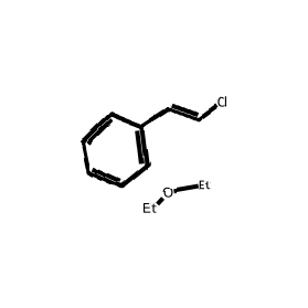 CCOCC.ClC=Cc1ccccc1